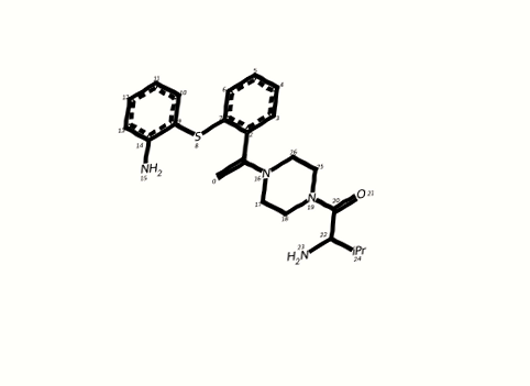 C=C(c1ccccc1Sc1ccccc1N)N1CCN(C(=O)C(N)C(C)C)CC1